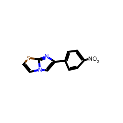 O=[N+]([O-])c1ccc(-c2cn3ccsc3n2)cc1